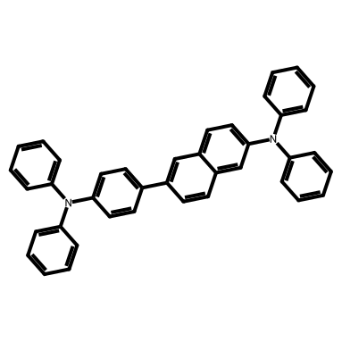 c1ccc(N(c2ccccc2)c2ccc(-c3ccc4cc(N(c5ccccc5)c5ccccc5)ccc4c3)cc2)cc1